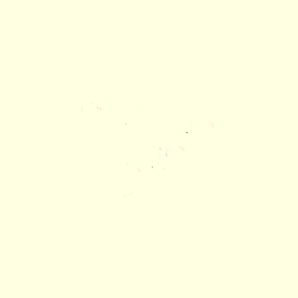 C=CC(=O)ONC(=O)C(CCC)CCCCCCCCCCCCCC